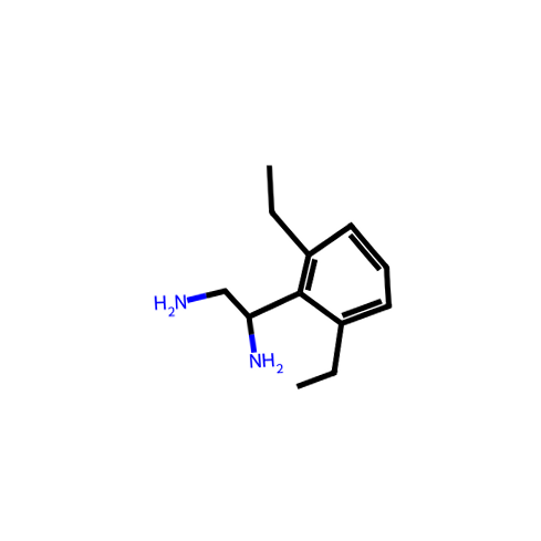 CCc1cccc(CC)c1C(N)CN